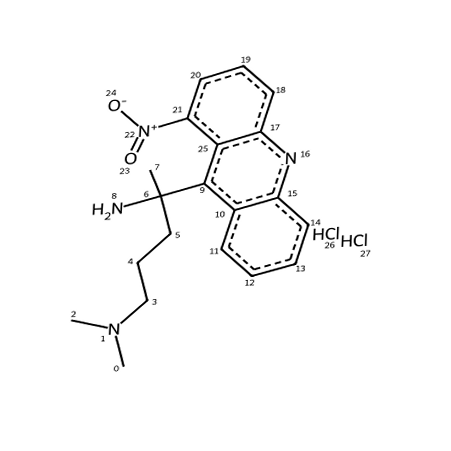 CN(C)CCCC(C)(N)c1c2ccccc2nc2cccc([N+](=O)[O-])c12.Cl.Cl